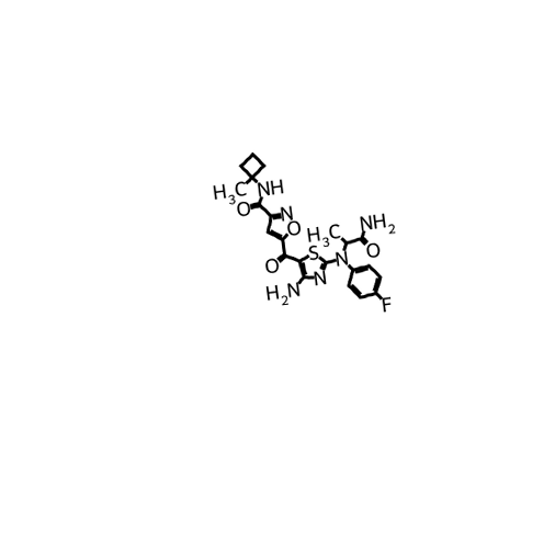 CC(C(N)=O)N(c1ccc(F)cc1)c1nc(N)c(C(=O)c2cc(C(=O)NC3(C)CCC3)no2)s1